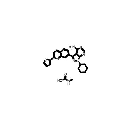 CNC(=O)O.Nc1ncnc2c1c(-c1ccc3ccc(-c4cccs4)nc3c1)nn2C1CCCCC1